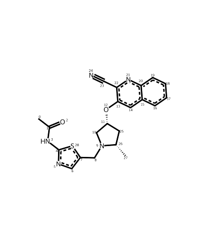 CC(=O)Nc1ncc(CN2C[C@H](Oc3cc4ccccc4nc3C#N)C[C@@H]2C)s1